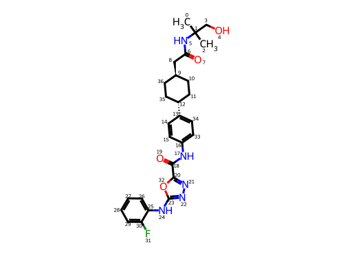 CC(C)(CO)NC(=O)C[C@H]1CC[C@H](c2ccc(NC(=O)c3nnc(Nc4ccccc4F)o3)cc2)CC1